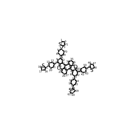 c1csc(-c2ccc(-c3cc(-c4ccc(-c5cccs5)cc4)c4oc5cccc6c5c(c4c3)c3cccc4oc5c(-c7ccc(-c8cccs8)cc7)cc(-c7ccc(-c8cccs8)cc7)cc5c6c43)cc2)c1